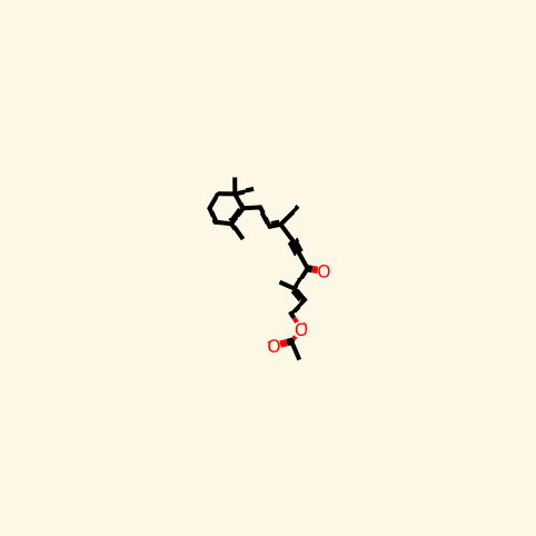 CC(=O)OC/C=C(\C)C(=O)C#C/C(C)=C/CC1=C(C)CCCC1(C)C